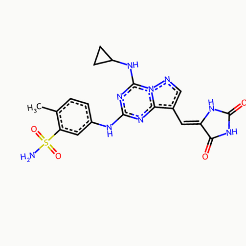 Cc1ccc(Nc2nc(NC3CC3)n3ncc(/C=C4\NC(=O)NC4=O)c3n2)cc1S(N)(=O)=O